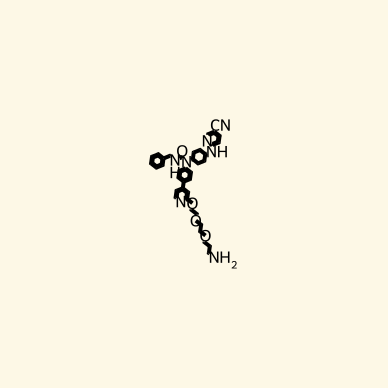 N#Cc1ccc(NC2CCC(N(C(=O)NCc3ccccc3)c3ccc(-c4ccnc(OCCOCCOCCCN)c4)cc3)CC2)nc1